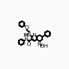 O=C(Nc1ccccc1)c1cc2c(nc1NCCOc1ccccc1)CC(c1ccccc1)C/C2=N\O